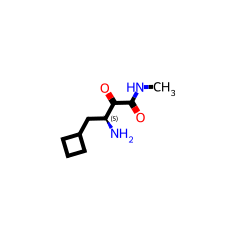 CNC(=O)C(=O)[C@@H](N)CC1CCC1